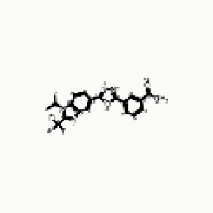 CC(C)n1c(C(F)(F)F)nc2cc(-c3nnc(-c4cccc(C(N)=O)c4)o3)ccc21